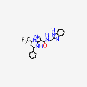 O=C(NCc1nc2ccccc2[nH]1)c1cnn2c1NC(c1ccccc1)CC2C(F)(F)F